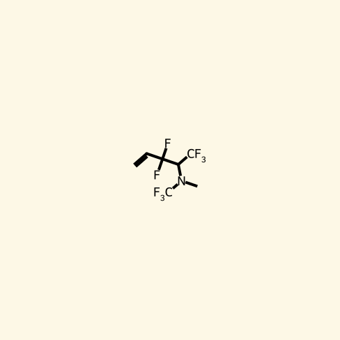 C=CC(F)(F)C(N(C)C(F)(F)F)C(F)(F)F